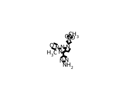 C[C@H]1COCCN1c1nc(-c2cnc(N)nc2)c2c(n1)N(C1CN(S(C)(=O)=O)C1)CC2